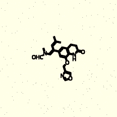 CC(C)=C/C(=C\N(C)C=O)c1cc2c(c(OCc3cocn3)c1)NC(=O)CC2